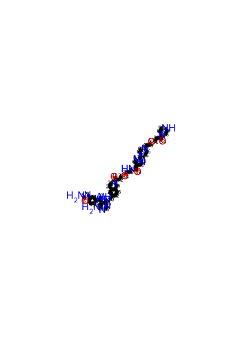 N=C(c1ccc2oc(N)nc2c1)c1c(N)ncnc1NCc1ccc2c(c1)CCN(C(=O)CCOCCNC(=O)c1cnc(N3CCN(CCOCCC(=O)N4CCNCC4)CC3)nc1)C2